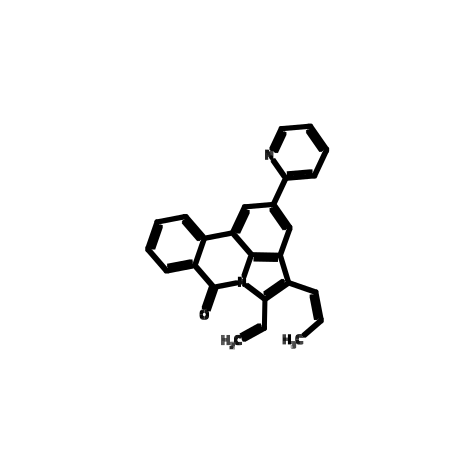 C=Cc1c(/C=C\C)c2cc(-c3ccccn3)cc3c4ccccc4c(=O)n1c23